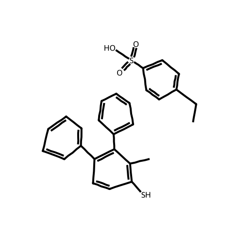 CCc1ccc(S(=O)(=O)O)cc1.Cc1c(S)ccc(-c2ccccc2)c1-c1ccccc1